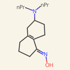 CCCN(CCC)C1CCC2=C(CCC/C2=N\O)C1